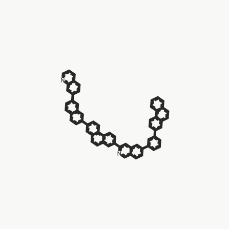 c1cc(-c2ccc3cnc(-c4ccc5c(ccc6cc(-c7ccc8ccc(-c9ccc%10cccnc%10c9)cc8c7)ccc65)c4)cc3c2)cc(-c2ccc3c(ccc4ccccc43)c2)c1